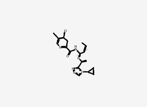 C=C(/N=C(\C=C/C)NC(=O)C1=NC=C(C)C(Cl)C1)c1nncn1C1CC1